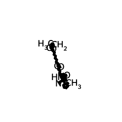 C=C(C)C(=O)OCCCCCCCCOC(=O)CCCc1cc(=O)n2cc(-c3ccccc3C)c(C#N)c2[nH]1